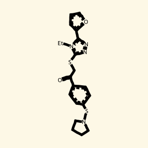 CCn1c(SCC(=O)c2ccc(SN3CCCC3)cc2)nnc1-c1ccco1